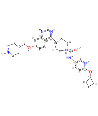 CN1CCC(COc2ccc3c(C4CCN(C(=O)Nc5ccc(OC6CCC6)nc5)CC4)ncnc3c2)CC1